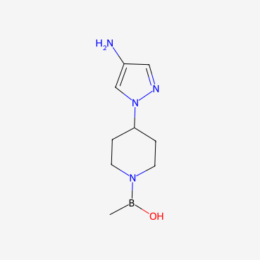 CB(O)N1CCC(n2cc(N)cn2)CC1